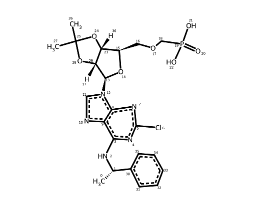 C[C@H](Nc1nc(Cl)nc2c1ncn2[C@@H]1O[C@H](COCP(=O)(O)O)[C@H]2OC(C)(C)O[C@H]21)c1ccccc1